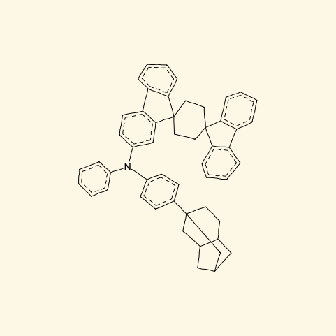 c1ccc(N(c2ccc(C34CCC5CC(CC5C3)C4)cc2)c2ccc3c(c2)C2(CCC4(CC2)c2ccccc2-c2ccccc24)c2ccccc2-3)cc1